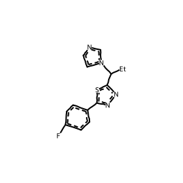 CCC(c1nnc(-c2ccc(F)cc2)s1)n1ccnc1